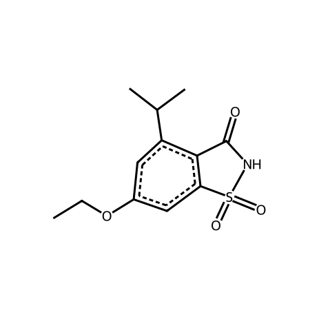 CCOc1cc(C(C)C)c2c(c1)S(=O)(=O)NC2=O